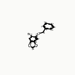 Brc1cc2c(cc1OCc1ccccc1)OCO2